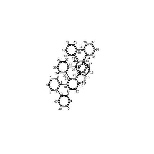 c1ccc(-c2ccccc2-c2ccc3sc4ccccc4c3c2-c2ccccc2-c2cccc3c4ccccc4c4ccccc4c23)cc1